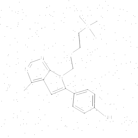 Cc1ncnc2c1cc(-c1ccc(N)cc1)n2COCC[Si](C)(C)C